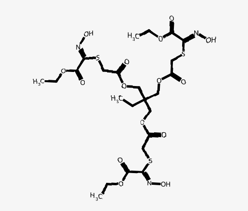 CCOC(=O)/C(=N/O)SCC(=O)OCC(CC)(COC(=O)CS/C(=N\O)C(=O)OCC)COC(=O)CS/C(=N\O)C(=O)OCC